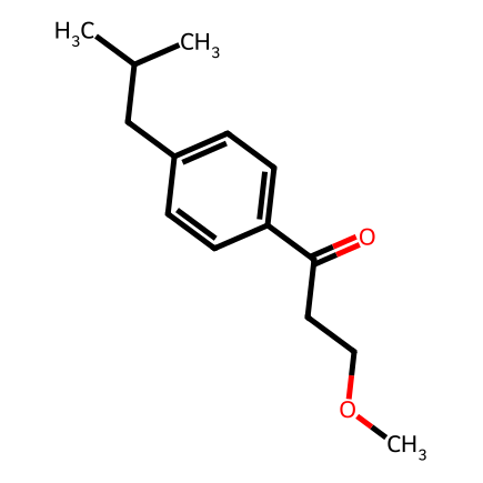 COCCC(=O)c1ccc(CC(C)C)cc1